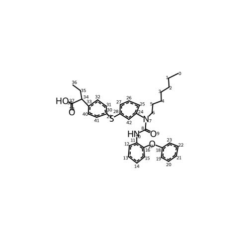 CCCCCCCN(C(=O)Nc1ccccc1Oc1ccccc1)c1cccc(Sc2ccc(C(CC)C(=O)O)cc2)c1